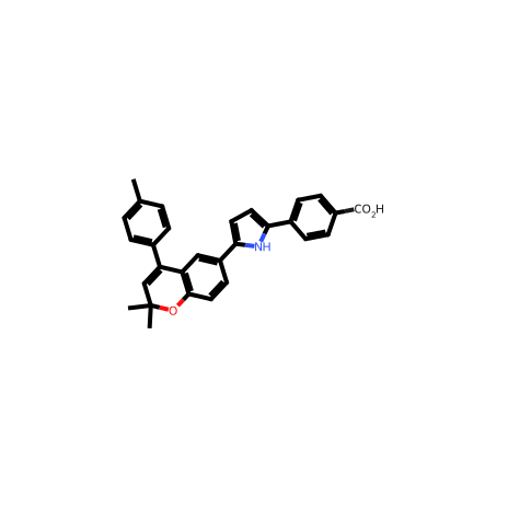 Cc1ccc(C2=CC(C)(C)Oc3ccc(-c4ccc(-c5ccc(C(=O)O)cc5)[nH]4)cc32)cc1